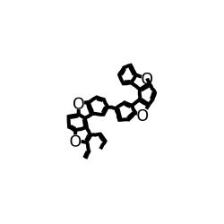 C=Cc1oc2ccc3oc4ccc(-c5ccc6oc7ccc8oc9ccccc9c8c7c6c5)cc4c3c2c1/C=C\C